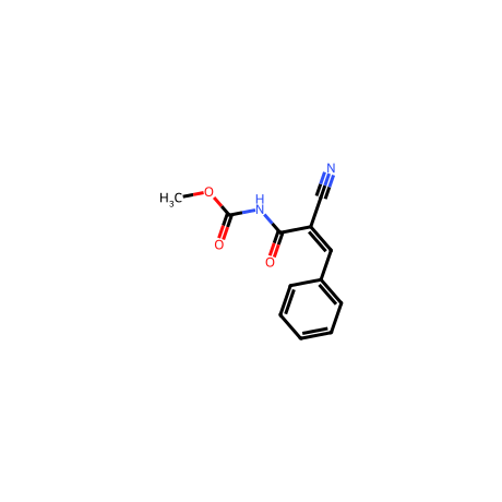 COC(=O)NC(=O)/C(C#N)=C\c1ccccc1